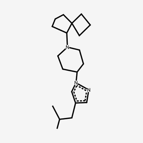 CC(C)Cc1cnn(C2CCN(C3CCCC34CCC4)CC2)c1